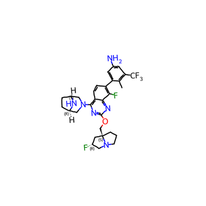 Cc1c(-c2ccc3c(N4C[C@H]5CC[C@@H](C4)N5)nc(OC[C@@]45CCCN4C[C@H](F)C5)nc3c2F)cc(N)cc1C(F)(F)F